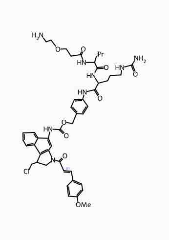 COc1ccc(/C=C/C(=O)N2CC(CCl)c3c2cc(NC(=O)OCc2ccc(NC(=O)C(CCCNC(N)=O)NC(=O)C(NC(=O)CCOCCN)C(C)C)cc2)c2ccccc32)cc1